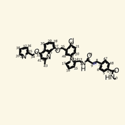 CNC(=O)c1ccc(/C=C/C(=O)NCc2cccn2-c2ccc(Cl)c(COc3cccc4c(OCc5ccccn5)cc(C)nc34)c2)cc1